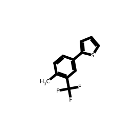 Cc1ccc(-c2cccs2)cc1C(F)(F)F